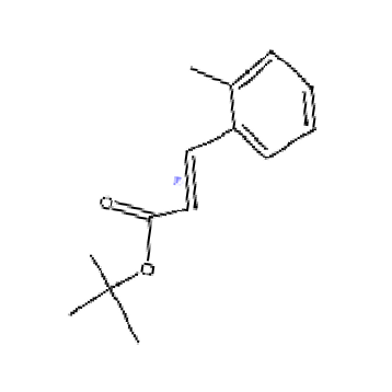 Cc1ccccc1/C=C/C(=O)OC(C)(C)C